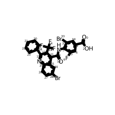 O=C(O)c1cc(F)c(NC(=O)c2c(C(F)(F)F)c(-c3ccccc3)nc3ccc(Br)cc23)c(Br)c1